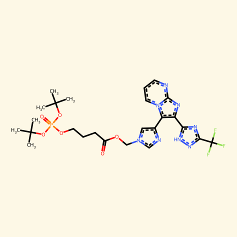 CC(C)(C)OP(=O)(OCCCC(=O)OCn1cnc(-c2c(-c3nc(C(F)(F)F)n[nH]3)nc3ncccn23)c1)OC(C)(C)C